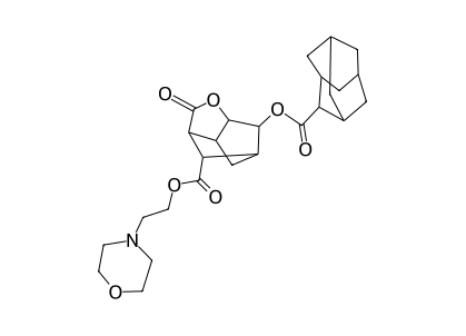 O=C(OC1C2CC3C1OC(=O)C3C2C(=O)OCCN1CCOCC1)C1C2CC3CC(C2)CC1C3